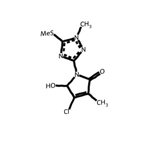 CSc1nc(N2C(=O)C(C)=C(Cl)C2O)nn1C